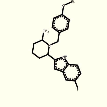 CCOc1ccc(CN2C(C)CCCC2c2cc3cc(F)ccc3[nH]2)cc1